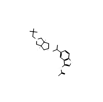 CC(=O)Nc1c[nH]c2ccc(C(C)C[C@@H]3C[C@@H]4CN(CC(F)(F)F)C[C@@H]4C3)cc12